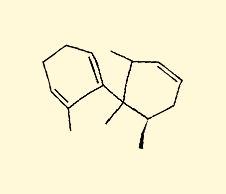 CC1=CCCC=C1C1(C)C(C)C=CC[C@H]1C